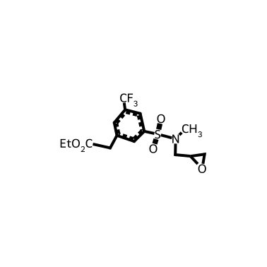 CCOC(=O)Cc1cc(C(F)(F)F)cc(S(=O)(=O)N(C)CC2CO2)c1